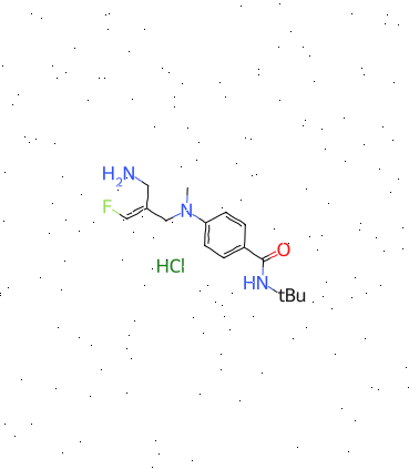 CN(C/C(=C/F)CN)c1ccc(C(=O)NC(C)(C)C)cc1.Cl